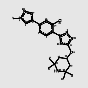 Cn1cc(-c2ccc(-c3nnc(OC4CC(C)(C)NC(C)(C)C4)s3)c(Cl)c2)cn1